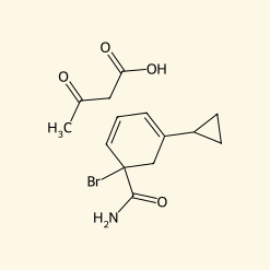 CC(=O)CC(=O)O.NC(=O)C1(Br)C=CC=C(C2CC2)C1